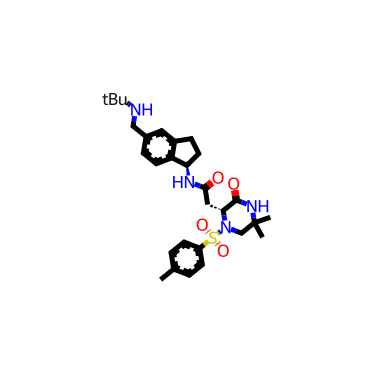 Cc1ccc(S(=O)(=O)N2CC(C)(C)NC(=O)[C@H]2CC(=O)N[C@@H]2CCc3cc(CNC(C)(C)C)ccc32)cc1